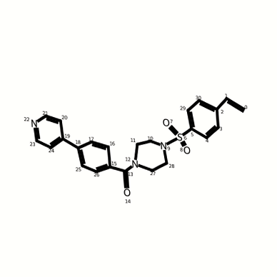 C=Cc1ccc(S(=O)(=O)N2CCN(C(=O)c3ccc(-c4ccncc4)cc3)CC2)cc1